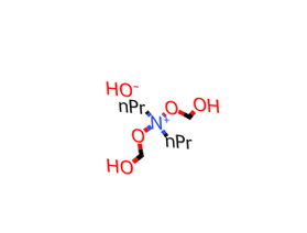 CCC[N+](CCC)(OCO)OCO.[OH-]